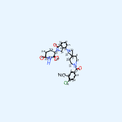 N#Cc1cc(C(=O)N2CCC3(CC2)CN(c2cccc4c2CN(C2CCC(=O)NC2=O)C4=O)C3)ccc1Cl